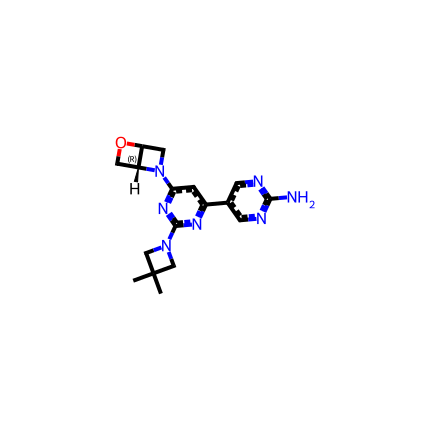 CC1(C)CN(c2nc(-c3cnc(N)nc3)cc(N3CC4OC[C@H]43)n2)C1